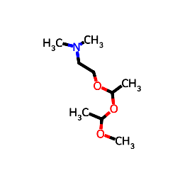 COC(C)OC(C)OCCN(C)C